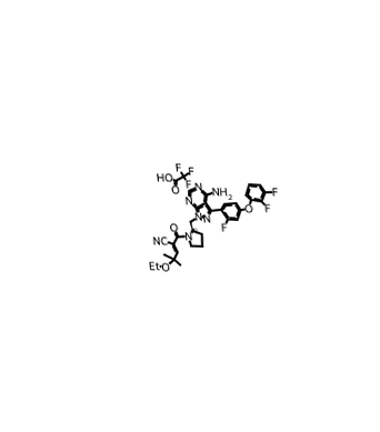 CCOC(C)(C)C=C(C#N)C(=O)N1CCC[C@@H]1Cn1nc(-c2ccc(Oc3cccc(F)c3F)cc2F)c2c(N)ncnc21.O=C(O)C(F)(F)F